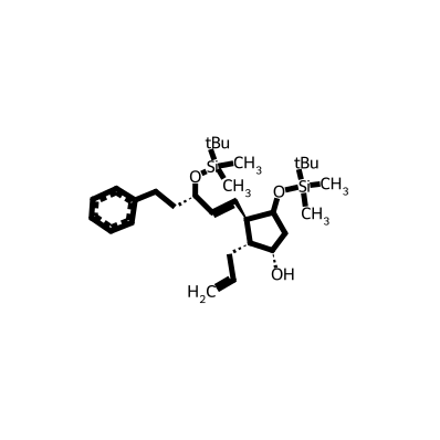 C=CC[C@H]1[C@@H](O)CC(O[Si](C)(C)C(C)(C)C)[C@@H]1/C=C/[C@H](CCc1ccccc1)O[Si](C)(C)C(C)(C)C